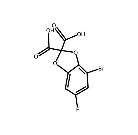 O=C(O)C1(C(=O)O)Oc2cc(F)cc(Br)c2O1